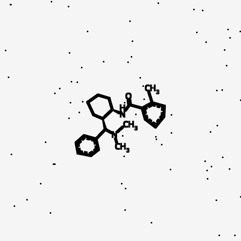 Cc1ccccc1C(=O)N[C@@H]1CCCC[C@@H]1C(c1ccccc1)N(C)C